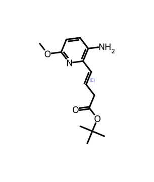 COc1ccc(N)c(/C=C/CC(=O)OC(C)(C)C)n1